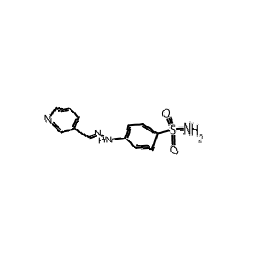 NS(=O)(=O)c1ccc(N/N=C/c2cccnc2)cc1